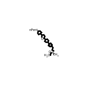 C=CC(=O)N(C)CCCc1ccc(C2CCC(C3CCC(C4CCC(CCCCC)CC4)CO3)CC2)cc1